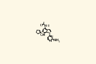 CC(=O)Nc1cc(C2(O)CCCC2)cc2c1ccn2-c1ccnc(N)n1